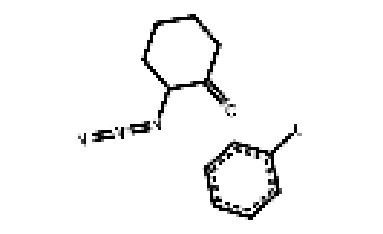 Clc1ccccc1.[N-]=[N+]=NC1CCCCC1=O